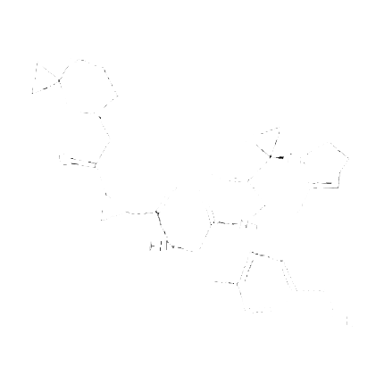 COc1ccc(C[C@H](NC(=O)C2CC2C(=O)CN2CCOC3(CC3)C2)C(=O)N[C@@H](CC2=CCCC2)C(=O)[C@@]2(C)CO2)cc1